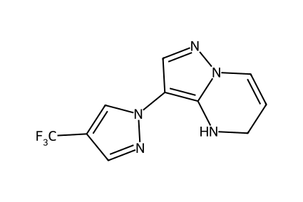 FC(F)(F)c1cnn(-c2cnn3c2NCC=C3)c1